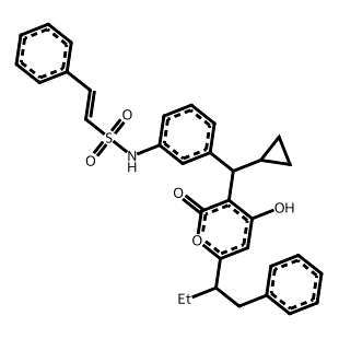 CCC(Cc1ccccc1)c1cc(O)c(C(c2cccc(NS(=O)(=O)C=Cc3ccccc3)c2)C2CC2)c(=O)o1